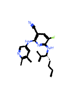 CCCC[C@@H](Nc1nc(Nc2cnc(C)c(C)c2)c(C#N)cc1F)C(C)C